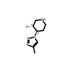 Cc1cn([C@@H]2CCNC[C@H]2F)nn1